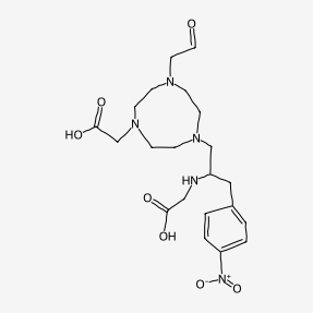 O=CCN1CCN(CC(=O)O)CCN(CC(Cc2ccc([N+](=O)[O-])cc2)NCC(=O)O)CC1